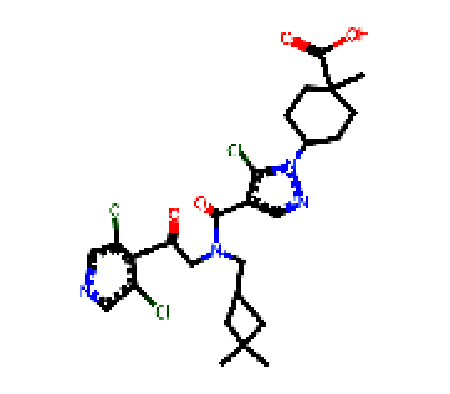 CC1(C)CC(CN(CC(=O)c2c(Cl)cncc2Cl)C(=O)c2cnn(C3CCC(C)(C(=O)O)CC3)c2Cl)C1